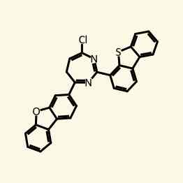 ClC1=CCC(c2ccc3c(c2)oc2ccccc23)=NC(c2cccc3c2sc2ccccc23)=N1